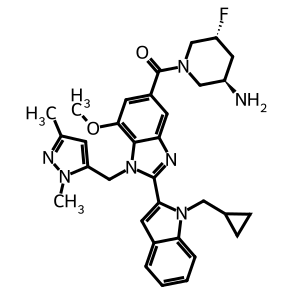 COc1cc(C(=O)N2C[C@H](N)C[C@@H](F)C2)cc2nc(-c3cc4ccccc4n3CC3CC3)n(Cc3cc(C)nn3C)c12